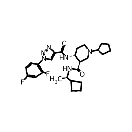 C[C@@H](NC(=O)[C@@H]1CN(C2CCCC2)CC[C@H]1NC(=O)c1cn(-c2ccc(F)cc2F)nn1)C1CCC1